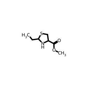 CCC1NC(C(=O)OC)CS1